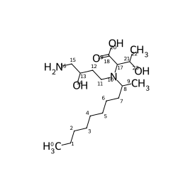 CCCCCCCCC(C)N(CCC(O)CN)C(C(=O)O)C(C)O